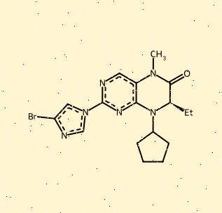 CC[C@@H]1C(=O)N(C)c2cnc(-n3cnc(Br)c3)nc2N1C1CCCC1